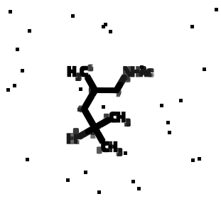 CCC(C)(C)CC(C)CNC(C)=O